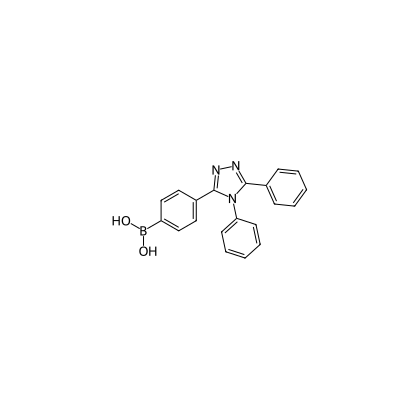 OB(O)c1ccc(-c2nnc(-c3ccccc3)n2-c2ccccc2)cc1